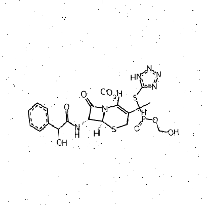 CC(Sc1nnn[nH]1)(C1=C(C(=O)O)N2C(=O)[C@@H](NC(=O)C(O)c3ccccc3)[C@@H]2SC1)[PH](=O)OCO